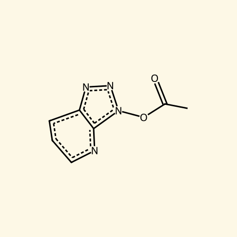 CC(=O)On1nnc2cccnc21